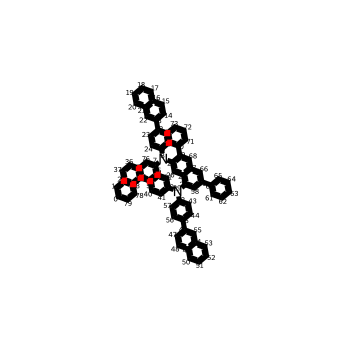 c1ccc(-c2ccc(N(c3ccc(-c4ccc5ccccc5c4)cc3)c3cc4c(N(c5ccc(-c6ccccc6)cc5)c5ccc(-c6ccc7ccccc7c6)cc5)cc(-c5ccccc5)cc4cc3-c3ccccc3)cc2)cc1